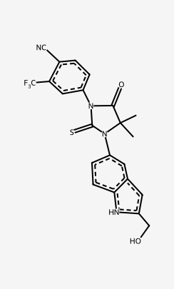 CC1(C)C(=O)N(c2ccc(C#N)c(C(F)(F)F)c2)C(=S)N1c1ccc2[nH]c(CO)cc2c1